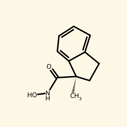 C[C@@]1(C(=O)NO)CCc2ccccc21